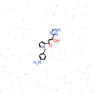 Nc1ccc(Cn2cccc2C(=O)C=C(O)c2nc[nH]n2)cc1